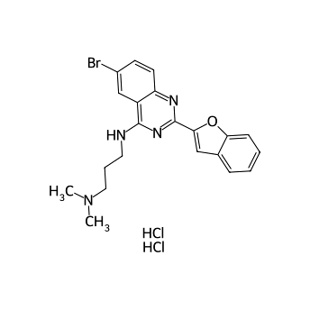 CN(C)CCCNc1nc(-c2cc3ccccc3o2)nc2ccc(Br)cc12.Cl.Cl